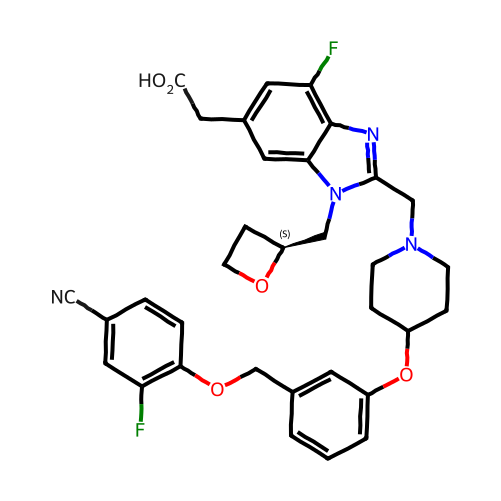 N#Cc1ccc(OCc2cccc(OC3CCN(Cc4nc5c(F)cc(CC(=O)O)cc5n4C[C@@H]4CCO4)CC3)c2)c(F)c1